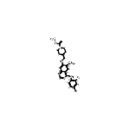 C=C(OC(C)(C)C)N1CCC(COc2cc3ncnc(Nc4ccc(Br)cc4F)c3cc2OC)CC1